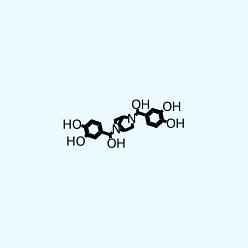 Oc1ccc(C(O)N2CC3CC2CN3C(O)c2ccc(O)c(O)c2)cc1O